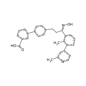 Cc1cc(-c2cccc(/C(CCc3ccc(-c4cccc(C(=O)O)c4)cc3)=N\O)c2C)ccn1